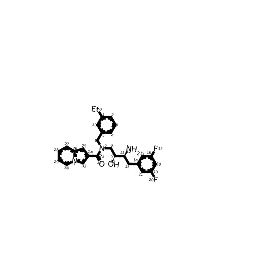 CCc1cccc(CN(C[C@@H](O)[C@@H](N)Cc2cc(F)cc(F)c2)C(=O)c2cc3ccccn3c2)c1